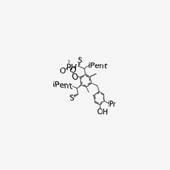 CCCC(C)C(C=S)c1c(C)c(Cc2ccc(O)c(C(C)C)c2)c(C)c(C(C=S)C(C)CCC)c1OO[PH](C)=O